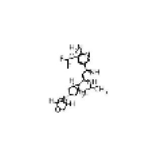 CC(C)N/C(=C\C(=N)c1cnc(N)c(OC(F)F)c1)[C@H]1[C@@H]2C[C@H](N3C[C@@H]4C[C@H]3CO4)C[C@@H]21